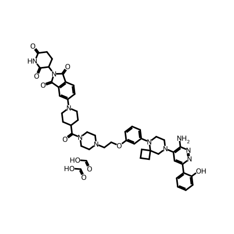 Nc1nnc(-c2ccccc2O)cc1N1CCN(c2cccc(OCCN3CCN(C(=O)C4CCN(c5ccc6c(c5)C(=O)N(C5CCC(=O)NC5=O)C6=O)CC4)CC3)c2)C2(CCC2)C1.O=CO.O=CO